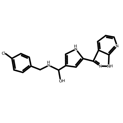 OC(NCc1ccc(Cl)cc1)c1c[nH]c(-c2n[nH]c3ncccc23)c1